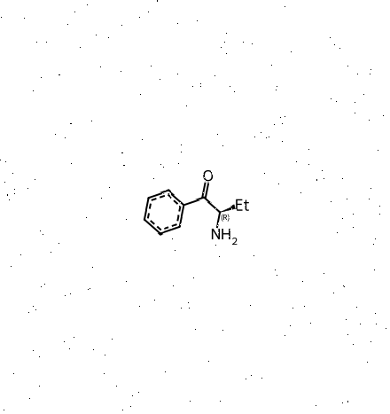 CC[C@@H](N)C(=O)c1ccccc1